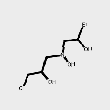 CCC(O)CN(O)CC(O)CCl